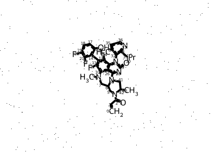 C=CC(=O)N1CC2CN(C)c3c(F)c(-c4c(O)ccc(F)c4F)c(F)c4c3c(nc(=O)n4-c3c(C)ccnc3C(C)C)N2CC1C